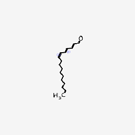 CCCCCCCCCC/C=C\C=C\C=CC=O